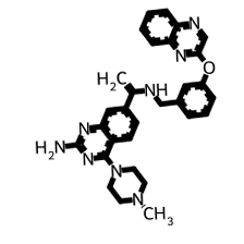 C=C(NCc1cccc(Oc2cnc3ccccc3n2)c1)c1ccc2c(N3CCN(C)CC3)nc(N)nc2c1